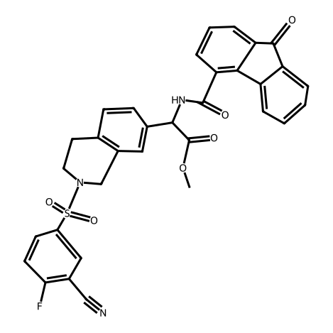 COC(=O)C(NC(=O)c1cccc2c1-c1ccccc1C2=O)c1ccc2c(c1)CN(S(=O)(=O)c1ccc(F)c(C#N)c1)CC2